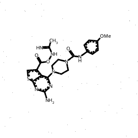 COc1ccc(NC(=O)N2CCN(c3nc(N)nc4scc(C(=O)ONC(C)=N)c34)CC2)cc1